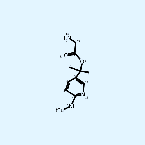 CC(C)(C)Nc1ccc(C(C)(C)OC(=O)CN)cn1